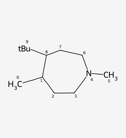 CC1CCN(C)CCC1C(C)(C)C